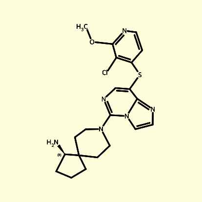 COc1nccc(Sc2cnc(N3CCC4(CCC[C@H]4N)CC3)n3ccnc23)c1Cl